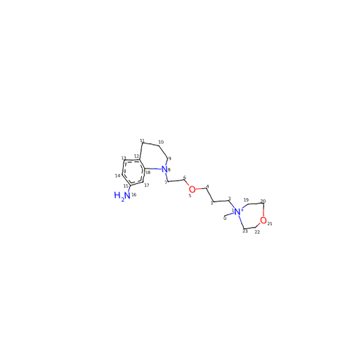 C[N+]1(CCCOCCN2CCCc3ccc(N)cc32)CCOCC1